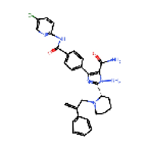 C=C(CN1CCCC[C@H]1c1nc(-c2ccc(C(=O)Nc3ccc(Cl)cn3)cc2)c(C(N)=O)n1N)c1ccccc1